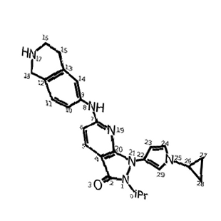 CC(C)n1c(=O)c2ccc(Nc3ccc4c(c3)CCNC4)nc2n1-c1ccn(C2CC2)c1